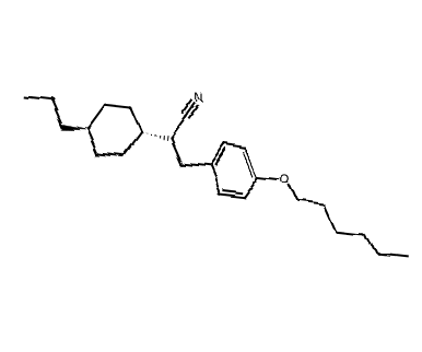 CCCCCCOc1ccc(CC(C#N)[C@H]2CC[C@H](CCC)CC2)cc1